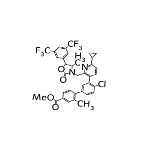 COC(=O)c1ccc(-c2ccc(Cl)c(-c3ccc(C4CC4)nc3CN3C(=O)OC(c4cc(C(F)(F)F)cc(C(F)(F)F)c4)C3C)c2)c(C)c1